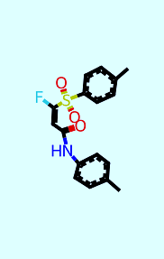 Cc1ccc(NC(=O)C=C(F)S(=O)(=O)c2ccc(C)cc2)cc1